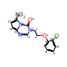 O=c1n(CCOc2ccccc2Cl)cnc2ccc([N+](=O)[O-])n12